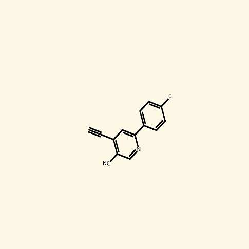 C#Cc1cc(-c2ccc(F)cc2)ncc1C#N